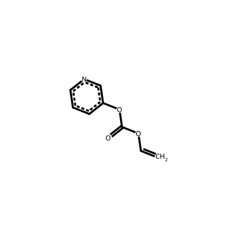 C=COC(=O)Oc1cccnc1